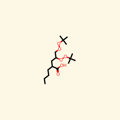 CCCCC(CC(COOC(C)(C)C)OOC(C)(C)C)C(=O)O